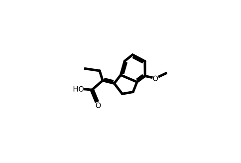 CC/C(C(=O)O)=C1/CCc2c(OC)cccc21